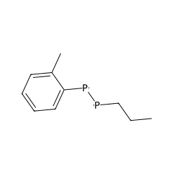 CCC[P][P]c1ccccc1C